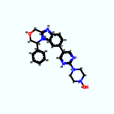 ON1CCN(c2ncc(-c3ccc4nc5n(c4c3)C(c3ccccc3)COC5)cn2)CC1